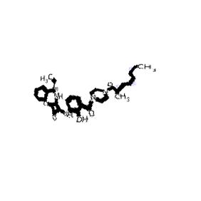 C\C=C/C=C\C=C(/C)C(=O)N1CCN(C(=O)c2cccc(Nc3c(N[C@H](CC)c4ccccc4)c(=O)c3=O)c2O)CC1